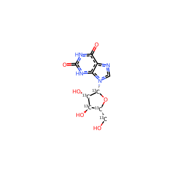 O=c1[nH]c(=O)c2ncn([13C@@H]3O[13C@H]([13CH2]O)[13C@@H](O)[13C@H]3O)c2[nH]1